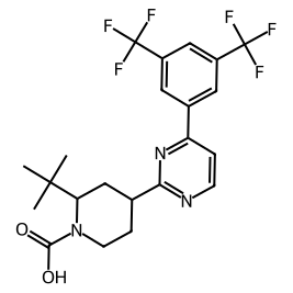 CC(C)(C)C1CC(c2nccc(-c3cc(C(F)(F)F)cc(C(F)(F)F)c3)n2)CCN1C(=O)O